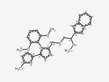 COc1cccc(OC)c1-n1c(NSCC(OC)c2cn3ccccc3n2)nnc1-c1ccc(C)o1